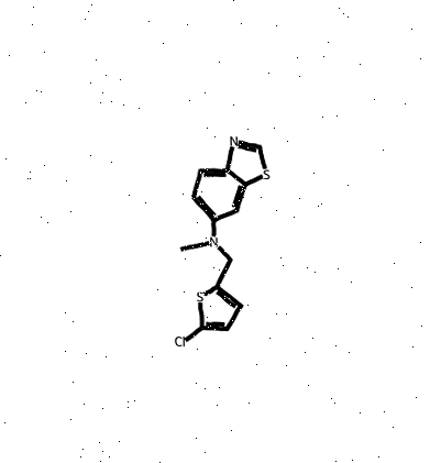 CN(Cc1ccc(Cl)s1)c1ccc2ncsc2c1